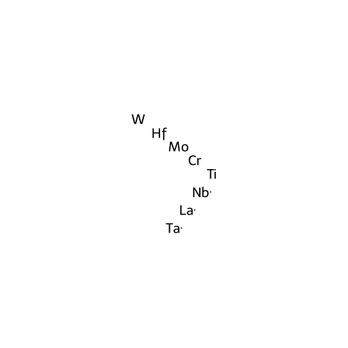 [Cr].[Hf].[La].[Mo].[Nb].[Ta].[Ti].[W]